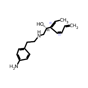 C=C/C=C\C(=C/C)[C@@H](O)CNCCc1ccc(N)cc1